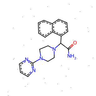 NC(=O)C(c1cccc2ccccc12)N1CCN(c2ncccn2)CC1